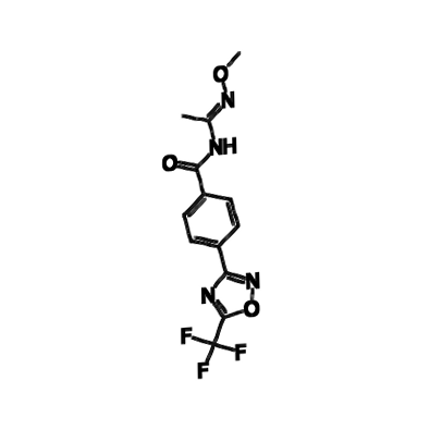 CO/N=C(\C)NC(=O)c1ccc(-c2noc(C(F)(F)F)n2)cc1